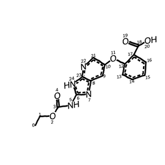 CCOC(=O)Nc1nc2cc(Oc3ccccc3C(=O)O)cnc2[nH]1